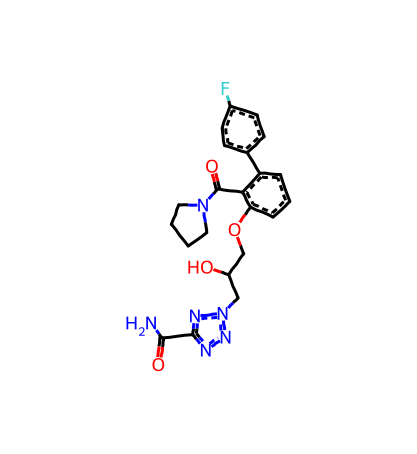 NC(=O)c1nnn(CC(O)COc2cccc(-c3ccc(F)cc3)c2C(=O)N2CCCC2)n1